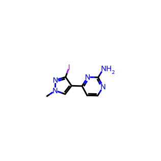 Cn1cc(-c2ccnc(N)n2)c(I)n1